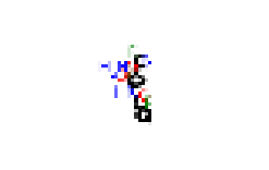 Cc1ccc(CC(=O)Nc2ccc(-c3cncc(F)c3)c(S(N)(=O)=O)c2)c(F)c1